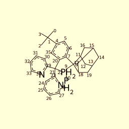 CC(C)(C)c1ccc(C2(CP)C3CC4CC(C3)CC2C4)c(C(P)(c2ccccn2)c2ccccn2)c1